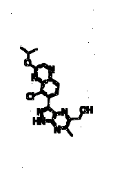 Cc1nc2[nH]nc(-c3ccc4ncc(OC(C)C)nc4c3Cl)c2nc1CO